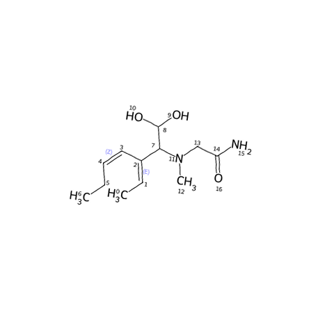 C/C=C(\C=C/CC)C(C(O)O)N(C)CC(N)=O